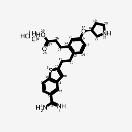 Cl.Cl.N=C(N)c1ccc2sc(CCc3ccc(O[C@H]4CCNC4)cc3CCC(=O)O)cc2c1